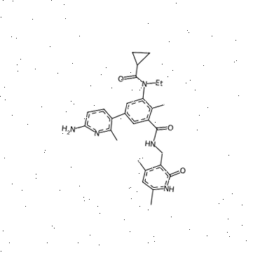 CCN(C(=O)C1CC1)c1cc(-c2ccc(N)nc2C)cc(C(=O)NCc2c(C)cc(C)[nH]c2=O)c1C